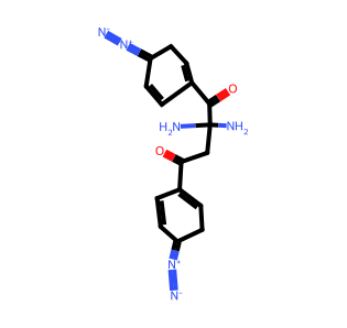 [N-]=[N+]=C1C=CC(C(=O)CC(N)(N)C(=O)C2=CCC(=[N+]=[N-])C=C2)=CC1